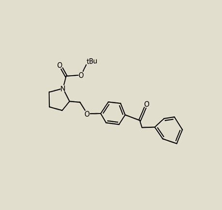 CC(C)(C)OC(=O)N1CCCC1COc1ccc(C(=O)Cc2ccccc2)cc1